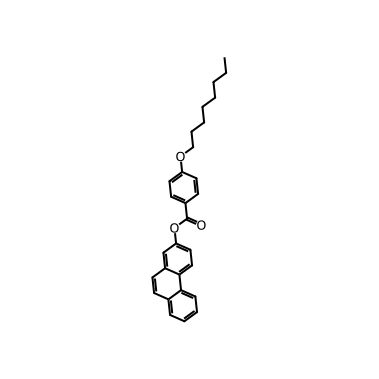 CCCCCCCCOc1ccc(C(=O)Oc2ccc3c(ccc4ccccc43)c2)cc1